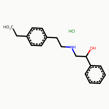 Cl.O=C(O)Cc1ccc(CCNCC(O)c2ccccc2)cc1